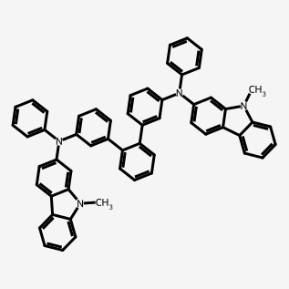 Cn1c2ccccc2c2ccc(N(c3ccccc3)c3cccc(-c4ccccc4-c4cccc(N(c5ccccc5)c5ccc6c7ccccc7n(C)c6c5)c4)c3)cc21